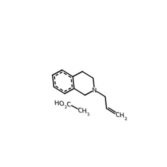 C=CCN1CCc2ccccc2C1.CC(=O)O